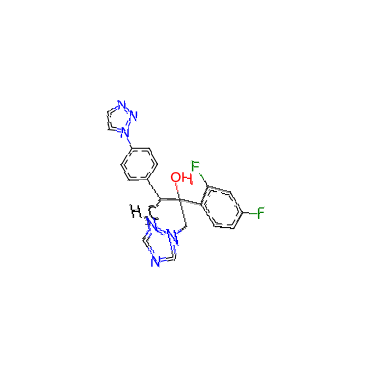 CC(c1ccc(-n2ccnn2)cc1)C(O)(Cn1cncn1)c1ccc(F)cc1F